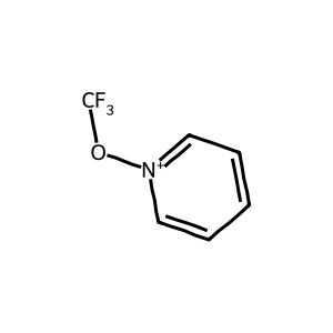 FC(F)(F)O[n+]1ccccc1